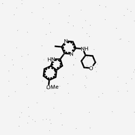 COc1ccc2[nH]c(-c3nc(NC4CCOCC4)cnc3C)cc2c1